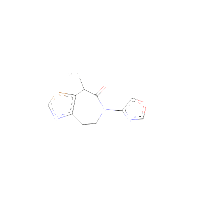 CNC1C(=O)N(c2cocn2)CCc2ncsc21